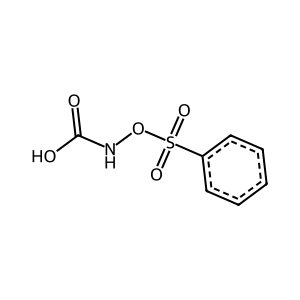 O=C(O)NOS(=O)(=O)c1ccccc1